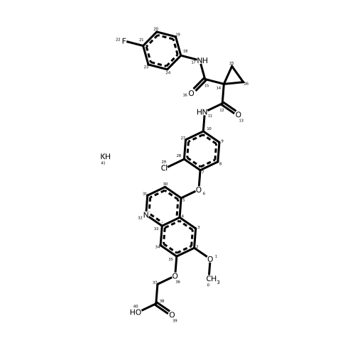 COc1cc2c(Oc3ccc(NC(=O)C4(C(=O)Nc5ccc(F)cc5)CC4)cc3Cl)ccnc2cc1OCC(=O)O.[KH]